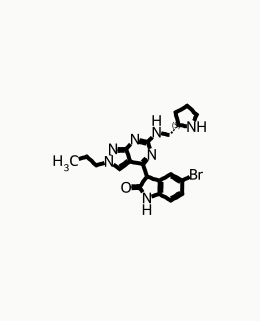 CCCn1cc2c(C3C(=O)Nc4ccc(Br)cc43)nc(NC[C@@H]3CCCN3)nc2n1